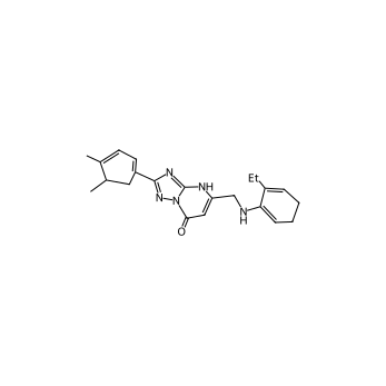 CCC1=CCCC=C1NCc1cc(=O)n2nc(C3=CC=C(C)C(C)C3)nc2[nH]1